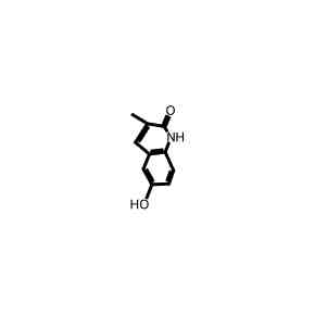 Cc1cc2cc(O)ccc2[nH]c1=O